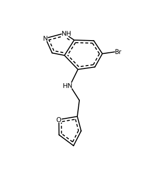 Brc1cc(NCc2ccco2)c2cn[nH]c2c1